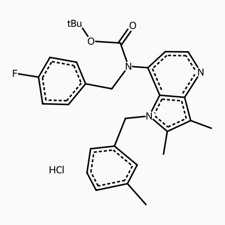 Cc1cccc(Cn2c(C)c(C)c3nccc(N(Cc4ccc(F)cc4)C(=O)OC(C)(C)C)c32)c1.Cl